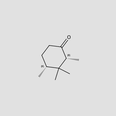 C[C@@H]1CCC(=O)[C@H](C)C1(C)C